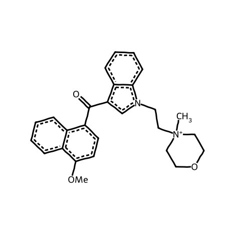 COc1ccc(C(=O)c2cn(CC[N+]3(C)CCOCC3)c3ccccc23)c2ccccc12